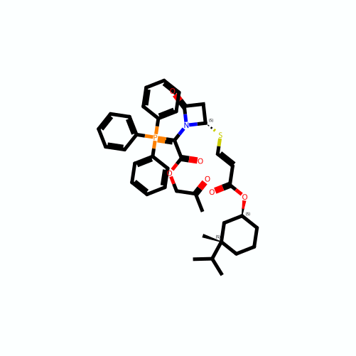 CC(=O)COC(=O)C(N1C(=O)C[C@@H]1SC=CC(=O)O[C@H]1CCC[C@](C)(C(C)C)C1)=P(c1ccccc1)(c1ccccc1)c1ccccc1